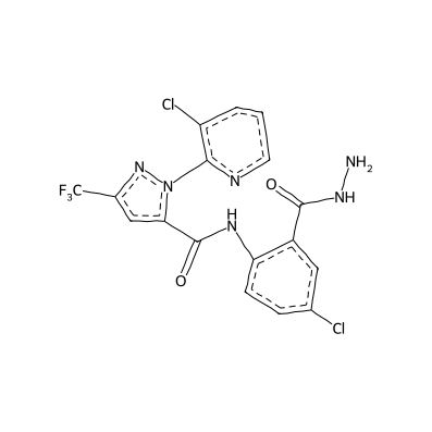 NNC(=O)c1cc(Cl)ccc1NC(=O)c1cc(C(F)(F)F)nn1-c1ncccc1Cl